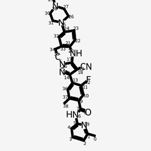 Cc1cccc(NC(=O)c2cc(F)c(-c3nn4c(c3C#N)Nc3ccc(N5CCN(C)CC5)cc3CC4)cc2C)n1